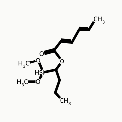 CC=CC=CC(=O)OC(CCC)[SiH](OC)OC